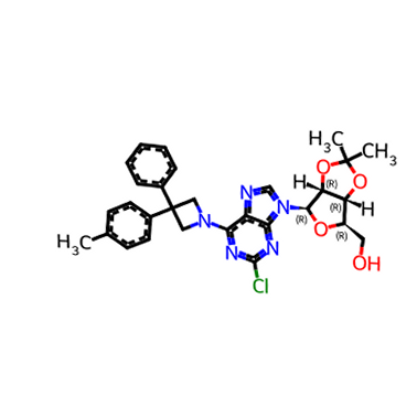 Cc1ccc(C2(c3ccccc3)CN(c3nc(Cl)nc4c3ncn4[C@@H]3O[C@H](CO)[C@H]4OC(C)(C)O[C@H]43)C2)cc1